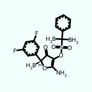 BC(B)(c1ccccc1)S(=O)(=O)OC1=C(N)O[C@](B)(c2cc(F)cc(F)c2)C1=O